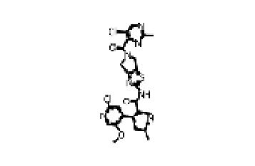 COc1cnc(Cl)cc1-c1cc(C)ncc1C(=O)Nc1nc2c(s1)CN(C(=O)c1nc(C)ncc1Cl)C2